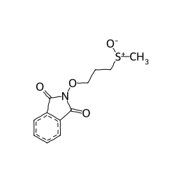 C[S+]([O-])CCCON1C(=O)c2ccccc2C1=O